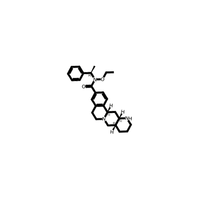 CCON(C(=O)c1ccc2c(c1)CCN1C[C@H]3CCCN[C@H]3C[C@@H]21)[C@H](C)c1ccccc1